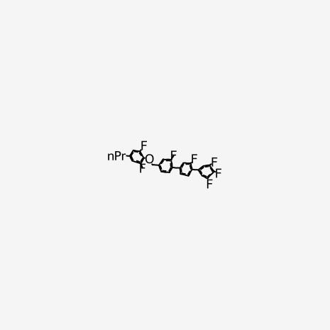 CCCc1cc(F)c(OCc2ccc(-c3ccc(-c4cc(F)c(F)c(F)c4)c(F)c3)c(F)c2)c(F)c1